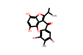 CC(=O)OC(C)c1oc2c(O)cc(O)c(O)c2c1C(=O)c1cc(Br)c(N=O)c(Br)c1